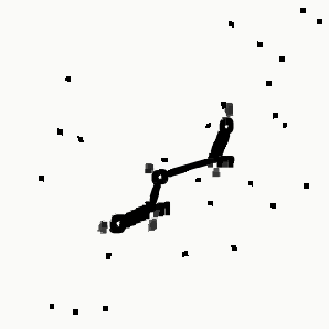 [O]=[Pm][O][Pm]=[O]